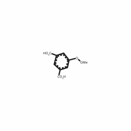 COOc1cc(C(=O)O)cc(C(=O)O)c1